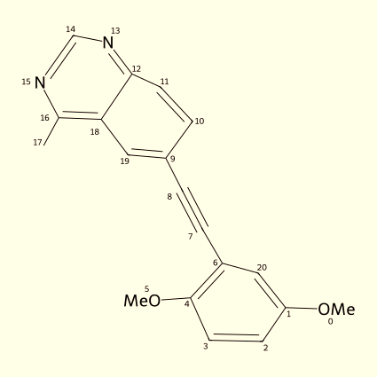 COc1ccc(OC)c(C#Cc2ccc3ncnc(C)c3c2)c1